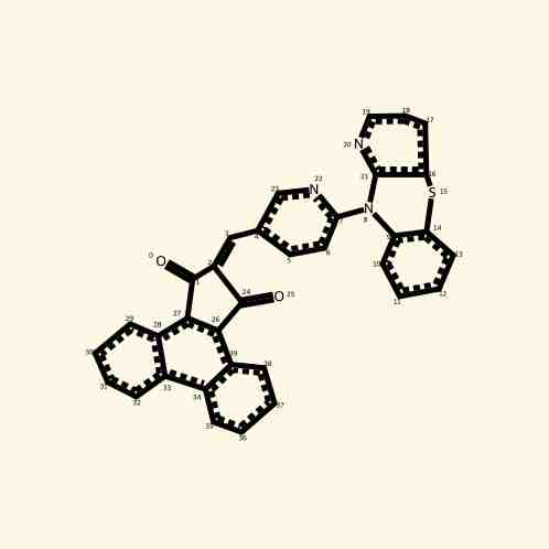 O=C1C(=Cc2ccc(N3c4ccccc4Sc4cccnc43)nc2)C(=O)c2c1c1ccccc1c1ccccc21